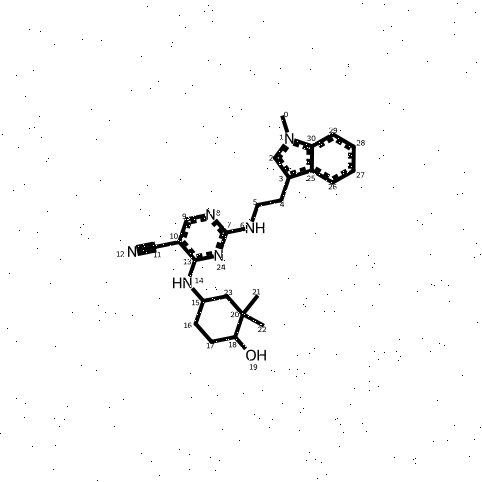 Cn1cc(CCNc2ncc(C#N)c(NC3CCC(O)C(C)(C)C3)n2)c2ccccc21